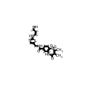 CC1=C(C)S(=O)(=O)c2ccc(C(=O)NCc3cnc(N/C=C\C=N)s3)cc2NC1=O